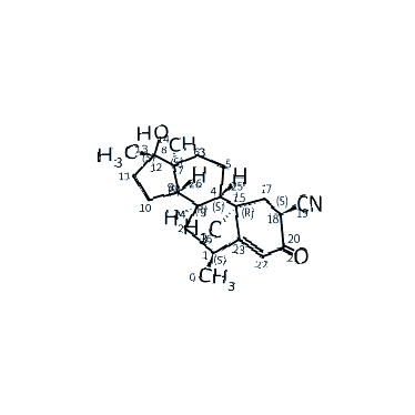 C[C@H]1C[C@@H]2[C@H](CC[C@@]3(C)[C@H]2CC[C@]3(C)O)[C@@]2(C)C[C@@H](C#N)C(=O)C=C12